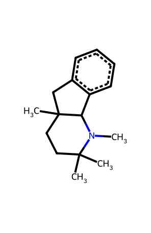 CN1C2c3ccccc3CC2(C)CCC1(C)C